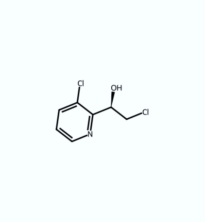 O[C@@H](CCl)c1ncccc1Cl